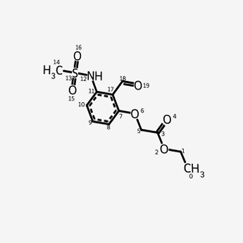 CCOC(=O)COc1cccc(NS(C)(=O)=O)c1C=O